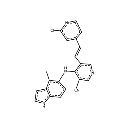 Cc1c(Nc2c(C#N)cncc2/C=C/c2ccnc(Cl)c2)ccc2[nH]ccc12